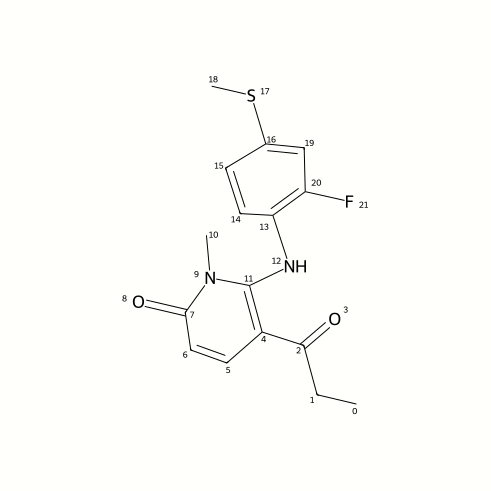 CCC(=O)c1ccc(=O)n(C)c1Nc1ccc(SC)cc1F